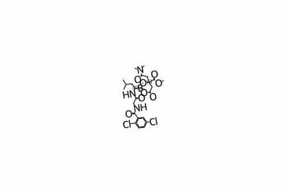 COC(=O)[C@]1(CC(=O)N(C)C)CC(=O)OB([C@H](CC(C)C)NC(=O)CNC(=O)c2cc(Cl)ccc2Cl)O1